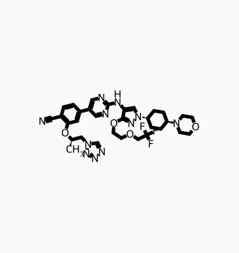 C[C@@H](Cn1cnnn1)Oc1cc(-c2cnc(Nc3cn([C@H]4CC[C@H](N5CCOCC5)CC4)nc3OCCOCC(F)(F)F)nc2)ccc1C#N